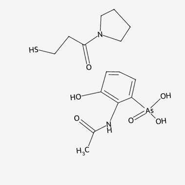 CC(=O)Nc1c(O)cccc1[As](=O)(O)O.O=C(CCS)N1CCCC1